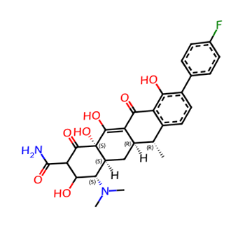 C[C@H]1c2ccc(-c3ccc(F)cc3)c(O)c2C(=O)C2=C(O)[C@]3(O)C(=O)C(C(N)=O)C(O)[C@@H](N(C)C)[C@@H]3C[C@@H]21